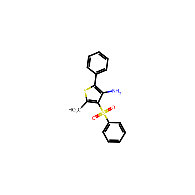 Nc1c(-c2ccccc2)sc(C(=O)O)c1S(=O)(=O)c1ccccc1